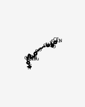 Cc1ncsc1-c1ccc(CNC(=O)C2CCCN2C(=O)C(NC(=O)c2ccc(OCCOCCCCOc3ccc(N4C(=S)N(c5ccc(C#N)c(C(F)(F)F)c5F)C(=O)C4(C)C)cn3)cc2)C(C)(C)C)cc1